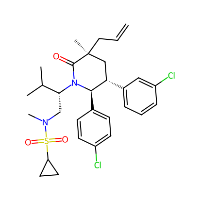 C=CC[C@@]1(C)C[C@H](c2cccc(Cl)c2)[C@@H](c2ccc(Cl)cc2)N([C@H](CN(C)S(=O)(=O)C2CC2)C(C)C)C1=O